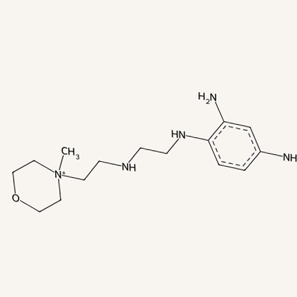 C[N+]1(CCNCCNc2ccc(N)cc2N)CCOCC1